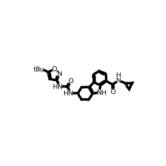 CC(C)(C)c1cc(NC(=O)NC2CCc3[nH]c4c(C(=O)NC5CC5)cccc4c3C2)no1